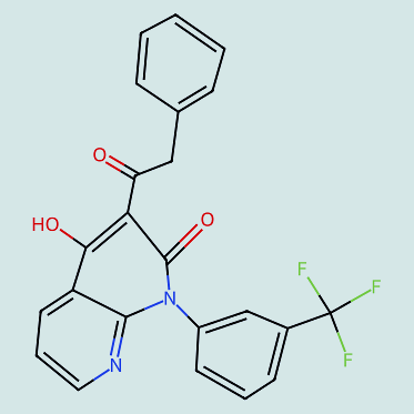 O=C(Cc1ccccc1)c1c(O)c2cccnc2n(-c2cccc(C(F)(F)F)c2)c1=O